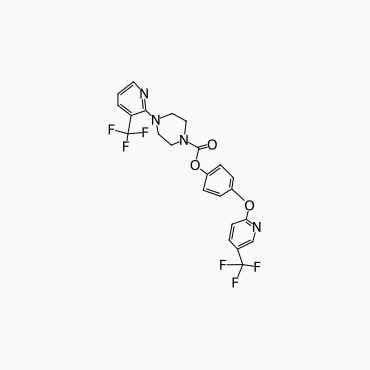 O=C(Oc1ccc(Oc2ccc(C(F)(F)F)cn2)cc1)N1CCN(c2ncccc2C(F)(F)F)CC1